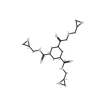 O=C(COCC1CO1)C1CC(C(=O)OCC2CO2)CC(C(=O)OCC2CO2)C1